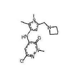 Cc1c(Nc2cc(Cl)nn(C)c2=O)cc(CN2CCC2)n1C